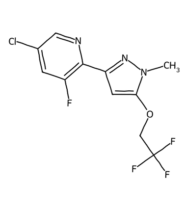 Cn1nc(-c2ncc(Cl)cc2F)cc1OCC(F)(F)F